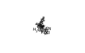 Cc1nc2c(F)c(-c3cccc(Cl)c3Cl)c(CCC#N)cc2c2c1cc(C1C3CC(CN(c4ccc(F)cc4)C3)N1C(=O)C1CC1)n2C1C2CNC1C2